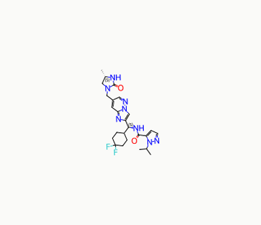 CC(C)n1nccc1C(=O)N[C@H](c1cn2ncc(CN3C[C@H](C)NC3=O)cc2n1)C1CCC(F)(F)CC1